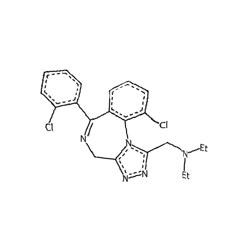 CCN(CC)Cc1nnc2n1-c1c(Cl)cccc1C(c1ccccc1Cl)=NC2